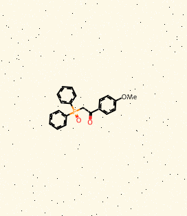 COc1ccc(C(=O)CP(=O)(c2ccccc2)c2ccccc2)cc1